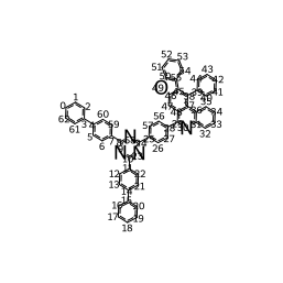 c1ccc(-c2ccc(-c3nc(-c4ccc(-c5ccccc5)cc4)nc(-c4ccc(-c5nc6ccccc6c6c(-c7ccccc7)c7c(cc56)oc5ccccc57)cc4)n3)cc2)cc1